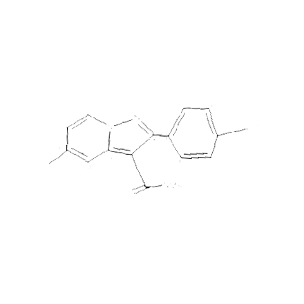 CNC(=O)c1c(-c2ccc(F)cc2)nn2ccc(C)cc12